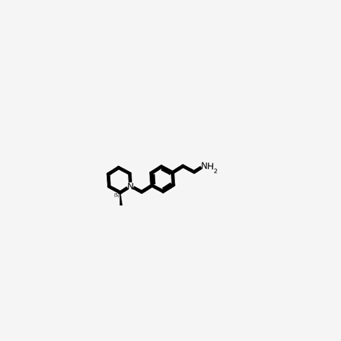 C[C@H]1CCCCN1Cc1ccc(CCN)cc1